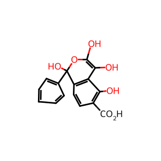 O=C(O)c1ccc2c(c1O)C(O)=C(O)OC2(O)c1ccccc1